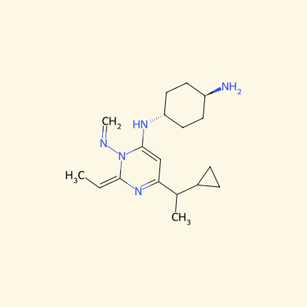 C=NN1C(N[C@H]2CC[C@H](N)CC2)=CC(C(C)C2CC2)=N/C1=C/C